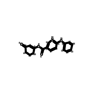 O=C1C=C(OC(=O)c2ccc(Oc3ccccc3)nc2)CCC1